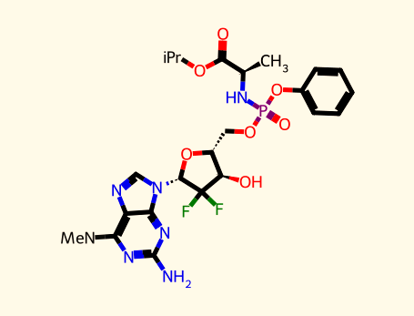 CNc1nc(N)nc2c1ncn2[C@@H]1O[C@H](COP(=O)(N[C@H](C)C(=O)OC(C)C)Oc2ccccc2)[C@@H](O)C1(F)F